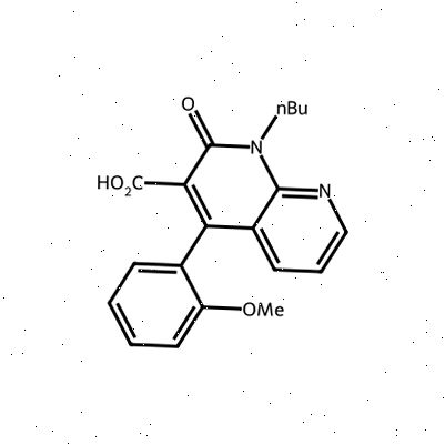 CCCCn1c(=O)c(C(=O)O)c(-c2ccccc2OC)c2cccnc21